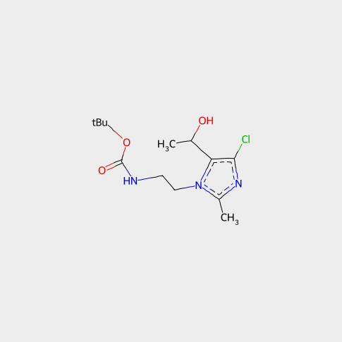 Cc1nc(Cl)c(C(C)O)n1CCNC(=O)OC(C)(C)C